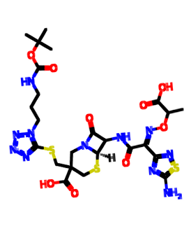 CC(ON=C(C(=O)NC1C(=O)N2CC(CSc3nnnn3CCCNC(=O)OC(C)(C)C)(C(=O)O)CS[C@H]12)c1nsc(N)n1)C(=O)O